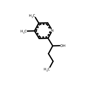 CCCC(O)c1cc(C)c(C)cn1